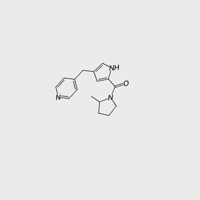 CC1CCCN1C(=O)c1cc(Cc2ccncc2)c[nH]1